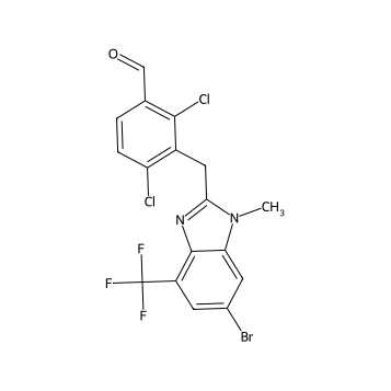 Cn1c(Cc2c(Cl)ccc(C=O)c2Cl)nc2c(C(F)(F)F)cc(Br)cc21